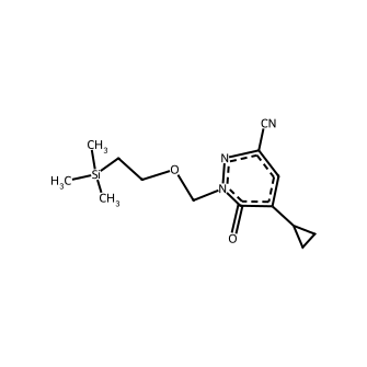 C[Si](C)(C)CCOCn1nc(C#N)cc(C2CC2)c1=O